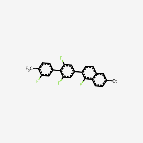 CCc1ccc2c(F)c(-c3cc(F)c(-c4ccc(C(F)(F)F)c(F)c4)c(F)c3)ccc2c1